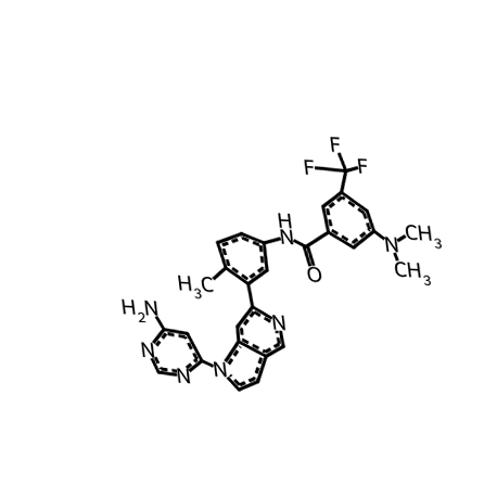 Cc1ccc(NC(=O)c2cc(N(C)C)cc(C(F)(F)F)c2)cc1-c1cc2c(ccn2-c2cc(N)ncn2)cn1